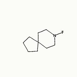 FN1CCC2(CCCC2)CC1